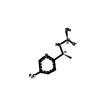 C[C@@H](N[S@+]([O-])C(C)(C)C)c1ccc(C(F)(F)F)cn1